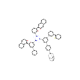 c1ccc(-c2cc(-c3nc(-c4cc(-c5ccc(C67CC8CC(CC(C8)C6)C7)cc5)cc(-c5cccc6c5sc5ccccc56)c4)nc(-c4cccc5c4oc4cc6ccccc6cc45)n3)c3oc4ccc5ccccc5c4c3c2)cc1